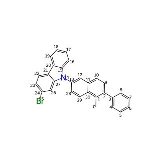 Cc1c(-c2ccccc2)ccc2cc(-n3c4ccccc4c4ccc(Br)cc43)ccc12